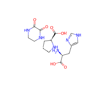 N[C@@H](Cc1c[nH]cn1)C(=O)O.O=C(O)[C@@H]1CCCN1.O=C1NCCNC1=O